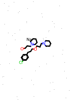 Clc1ccc(CCCOCCCN2CCCCC2)cc1.[Na+].[O-]CCCN1CCCCC1